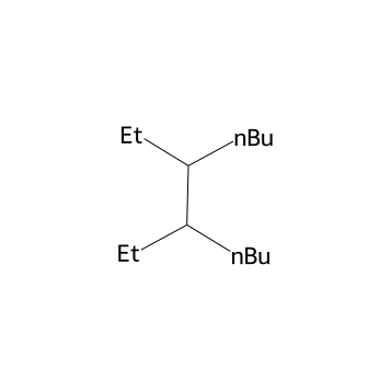 CCCCC(CC)C(CC)CCCC